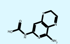 Nc1nc(NC(=O)O)cc2c1N=CCS2